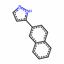 c1ccc2cc(-c3ccn[nH]3)ccc2c1